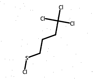 ClSCCCC(Cl)(Cl)Cl